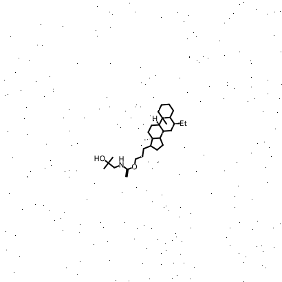 C=C(NCC(C)(C)O)OCCCC1CCC2C3C[C@H](CC)C4CCCCC4(C)[C@H]3CC[C@]12C